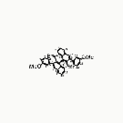 COc1cccc(-c2cc3ccccc3c(-c3c(CBr)c(-c4cccc(OC)c4)cc4ccccc34)c2CBr)c1